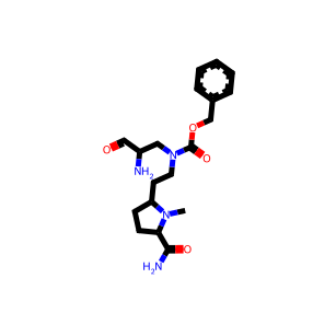 CN1C(CCN(CC(N)C=O)C(=O)OCc2ccccc2)CCC1C(N)=O